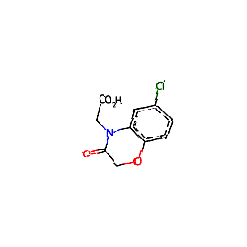 O=C(O)CN1C(=O)COc2ccc(Cl)cc21